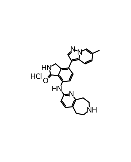 Cc1ccc2c(-c3ccc(Nc4ccc5c(n4)CCNCC5)c4c3CNC4=O)cnn2c1.Cl